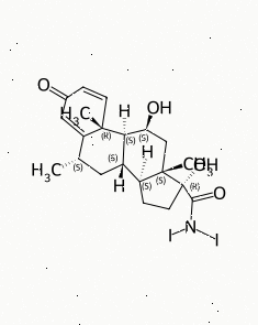 C[C@H]1C[C@@H]2[C@H]([C@@H](O)C[C@@]3(C)[C@H]2CC[C@]3(O)C(=O)N(I)I)[C@@]2(C)C=CC(=O)C=C12